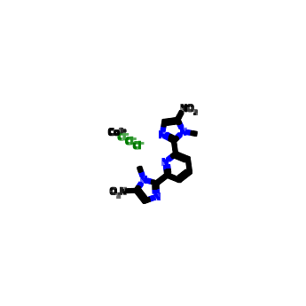 Cn1c([N+](=O)[O-])cnc1-c1cccc(-c2ncc([N+](=O)[O-])n2C)n1.[Cl-].[Cl-].[Cl-].[Co+3]